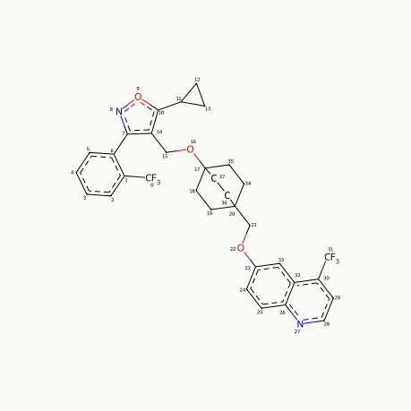 FC(F)(F)c1ccccc1-c1noc(C2CC2)c1COC12CCC(COc3ccc4nccc(C(F)(F)F)c4c3)(CC1)CC2